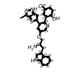 Cc1n[nH]c2cc(-c3cc(OC[C@H](N)Cc4c[nH]c5ccccc45)cnc3-c3cc(Cl)ccc3O)sc12